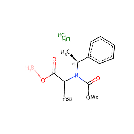 BOC(=O)C(CCCC)N(C(=O)OC)[C@@H](C)c1ccccc1.Cl.Cl